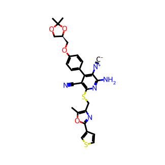 [C-]#[N+]c1c(N)nc(SCc2nc(-c3ccsc3)oc2C)c(C#N)c1-c1ccc(OC[C@H]2COC(C)(C)O2)cc1